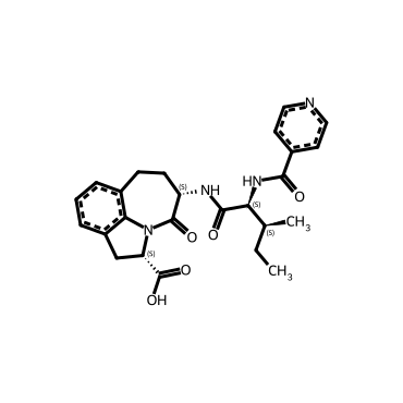 CC[C@H](C)[C@H](NC(=O)c1ccncc1)C(=O)N[C@H]1CCc2cccc3c2N(C1=O)[C@H](C(=O)O)C3